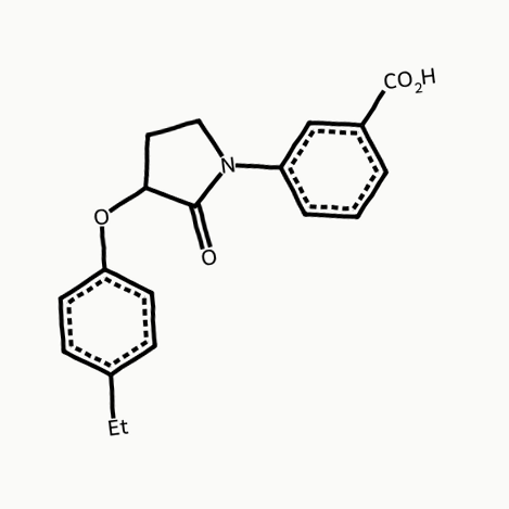 CCc1ccc(OC2CCN(c3cccc(C(=O)O)c3)C2=O)cc1